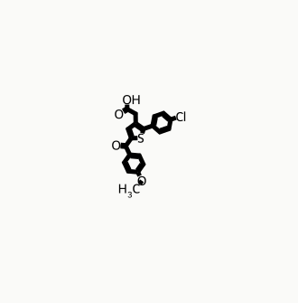 COc1ccc(C(=O)c2cc(CC(=O)O)c(-c3ccc(Cl)cc3)s2)cc1